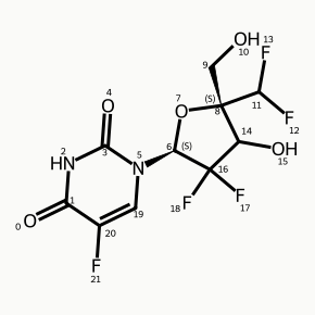 O=c1[nH]c(=O)n([C@H]2O[C@](CO)(C(F)F)C(O)C2(F)F)cc1F